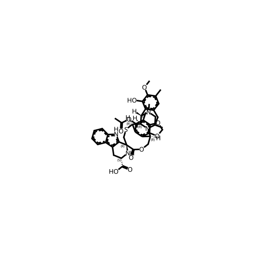 COc1c(C)cc2c(c1O)[C@H]1[C@@H]3[C@@H]4SC[C@]5(N[C@H](C(=O)O)Cc6c5[nH]c5ccccc65)C(=O)OC[C@@H](c5c6c(c(C)c(OC(C)=O)c54)OCO6)N3C(C)(C2)CN1C